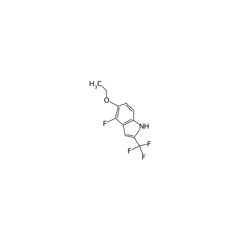 CCOc1ccc2[nH]c(C(F)(F)F)cc2c1F